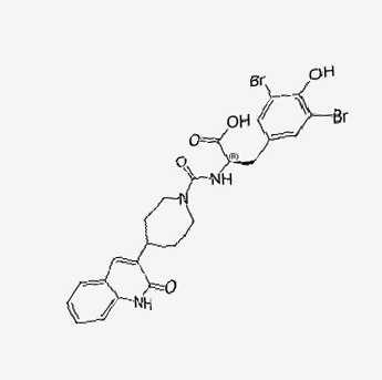 O=C(O)[C@@H](Cc1cc(Br)c(O)c(Br)c1)NC(=O)N1CCC(c2cc3ccccc3[nH]c2=O)CC1